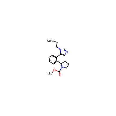 COCCn1cncc1-c1ccccc1C1CCCN1C(=O)OC(C)(C)C